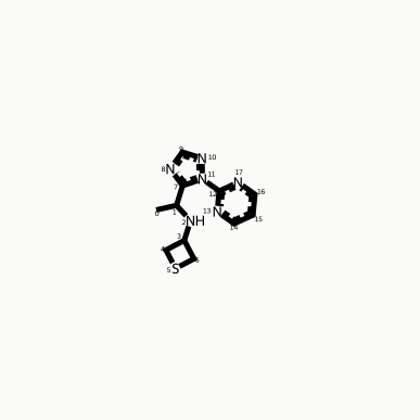 CC(NC1CSC1)c1ncnn1-c1ncccn1